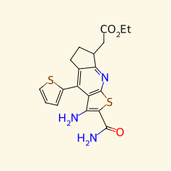 CCOC(=O)CC1CCc2c1nc1sc(C(N)=O)c(N)c1c2-c1cccs1